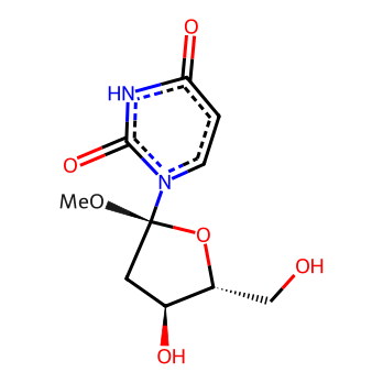 CO[C@]1(n2ccc(=O)[nH]c2=O)C[C@H](O)[C@@H](CO)O1